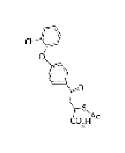 CC(=O)SC(CC(=O)c1ccc(Oc2ccccc2Cl)cc1)C(=O)O